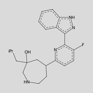 CC(C)CC1(O)CNCCC(c2ccc(F)c(-c3n[nH]c4ccccc34)n2)C1